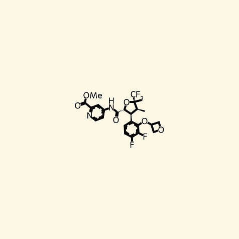 COC(=O)c1cc(NC(=O)[C@@H]2O[C@@](C)(C(F)(F)F)[C@@H](C)[C@H]2c2ccc(F)c(F)c2OC2COC2)ccn1